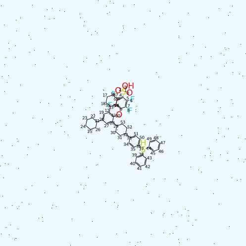 O=S(=O)(O)c1c(F)c(F)c(Oc2c(C3CCCCC3)cc(C3CCCCC3)cc2C2CCC(c3ccc([SH](c4ccccc4)c4ccccc4)cc3)CC2)c(F)c1F